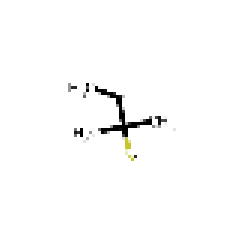 C[CH]C(C)(C)[S]